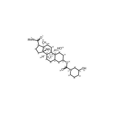 CNC(=O)C1CC[C@@]2(N)[C@@H]3CCC4CC(OC(=O)N5CCCC(O)C5)CC[C@]4(C)[C@@H]3CC[C@]12C.Cl